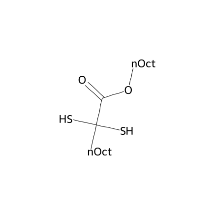 CCCCCCCCOC(=O)C(S)(S)CCCCCCCC